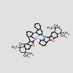 CC1(C)CCC(C)(C)c2cc3c(cc21)oc1c3c2cccc3c2n1B1c2c(cc4ccccc4c2-3)-n2c3c1cccc3c1oc3cc4c(cc3c12)C(C)(C)CCC4(C)C